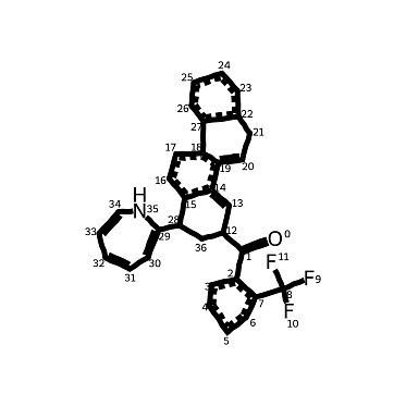 O=C(c1ccccc1C(F)(F)F)C1C=c2c(ccc3c2=CCc2ccccc2-3)C(C2=CC=CC=CN2)C1